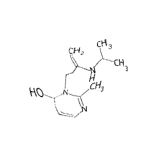 C=C(CN1C(C)=NC=CC1O)NC(C)C